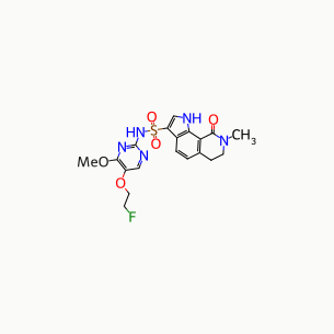 COc1nc(NS(=O)(=O)c2c[nH]c3c4c(ccc23)CCN(C)C4=O)ncc1OCCF